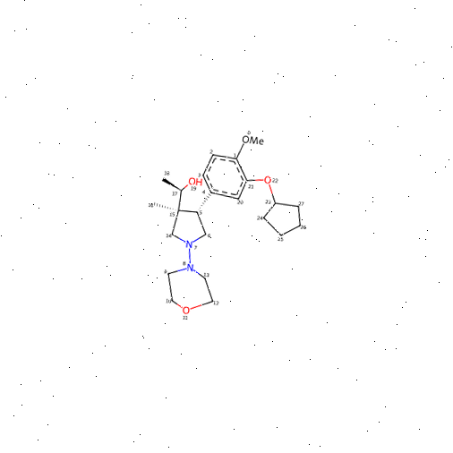 COc1ccc([C@@H]2CN(N3CCOCC3)C[C@@]2(C)[C@@H](C)O)cc1OC1CCCC1